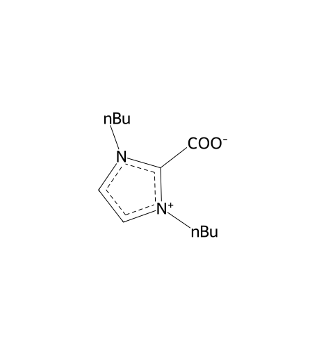 CCCCn1cc[n+](CCCC)c1C(=O)[O-]